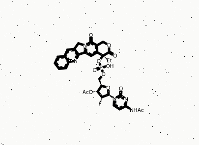 CC[C@@]1(OP(=O)(O)OC[C@H]2O[C@@H](n3ccc(NC(C)=O)nc3=O)[C@H](F)[C@@H]2OC(C)=O)C(=O)OCc2c1cc1n(c2=O)Cc2cc3ccccc3nc2-1